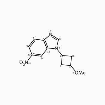 COC1CC(n2cnc3ccc([N+](=O)[O-])cc32)C1